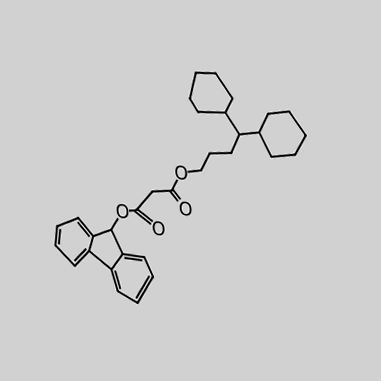 O=C(CC(=O)OC1c2ccccc2-c2ccccc21)OCCCC(C1CCCCC1)C1CCCCC1